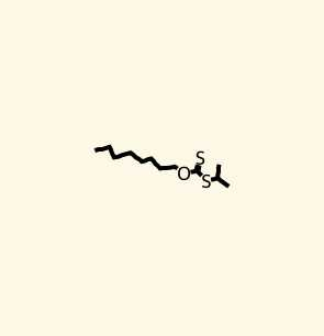 CCCCCCCCOC(=S)SC(C)C